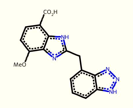 COc1ccc(C(=O)O)c2[nH]c(Cc3cccc4[nH]nnc34)nc12